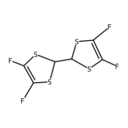 FC1=C(F)SC(C2SC(F)=C(F)S2)S1